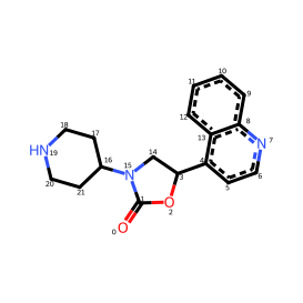 O=C1OC(c2ccnc3ccccc23)CN1C1CCNCC1